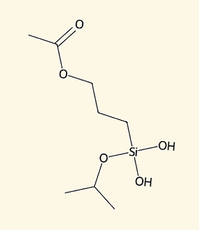 CC(=O)OCCC[Si](O)(O)OC(C)C